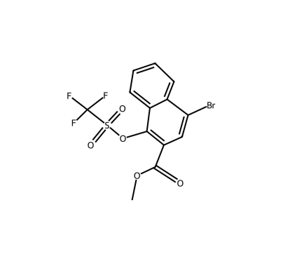 COC(=O)c1cc(Br)c2ccccc2c1OS(=O)(=O)C(F)(F)F